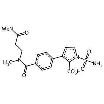 CNC(=O)CCN(C)C(=O)c1ccc(-c2ccn(S(N)(=O)=O)c2C(=O)O)cc1